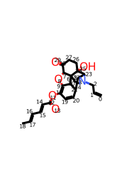 C=CCN1CCC23C4OC5=C(OC(=O)/C=C/C=C/C)C=CC(CC1C2(O)CCC4=O)C53